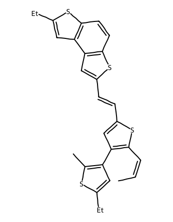 C/C=C\c1sc(/C=C/c2cc3c(ccc4sc(CC)cc43)s2)cc1-c1cc(CC)sc1C